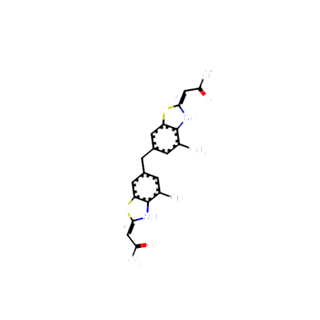 Cc1cc(Cc2cc(C)c3c(c2)S/C(=C/C(=O)C(F)(F)F)N3)cc2c1N/C(=C\C(=O)C(F)(F)F)S2